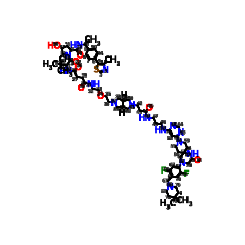 Cc1ncsc1-c1ccc([C@H](C)NC(=O)[C@@H]2C[C@@H](O)CN2C(=O)[C@@H](NC(=O)CCC(=O)NCCOCCN2C[C@@H]3CN(CCC(=O)NCCCNc4cc(N5CCC6(CC5)CN(c5cc(F)c(CN7CCC(C)(C)CC7)cc5F)CC(=O)N6)ncn4)C[C@@H]3C2)C(C)(C)C)cc1